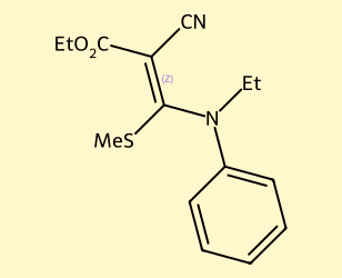 CCOC(=O)/C(C#N)=C(\SC)N(CC)c1ccccc1